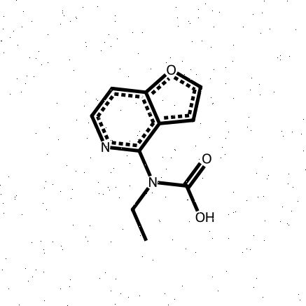 CCN(C(=O)O)c1nccc2occc12